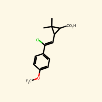 CC1(C)C(C=C(Cl)c2ccc(OC(F)(F)F)cc2)C1C(=O)O